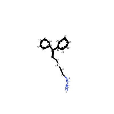 [N-]=[N+]=NCCCCC=C(c1ccccc1)c1ccccc1